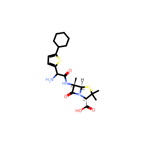 CC1(C)S[C@H]2N(C(=O)[C@]2(C)NC(=O)C(N)c2ccc(C3CCCCC3)s2)[C@H]1C(=O)O